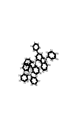 c1ccc(-c2cc(-n3c4ccccc4c4c([Si](c5ccccc5)(c5ccccc5)c5ccccc5)cccc43)c3c4ccccc4n(-c4ccccc4)c3c2)cc1